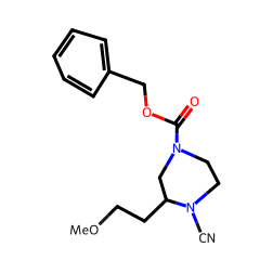 COCCC1CN(C(=O)OCc2ccccc2)CCN1C#N